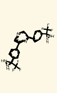 FC(F)(F)C1(c2ccc(-c3cncc(-c4ccc(C5(C(F)(F)F)NN5)cc4)n3)cc2)NN1